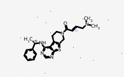 C[C@@H](Nc1ncnc2sc3c(c12)CCN(C(=O)/C=C/CN(C)C)C3)c1ccccc1